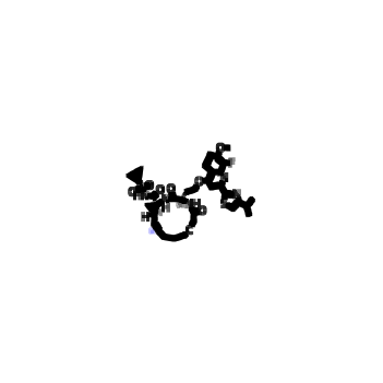 COc1ccc2c(OCC[C@@H]3NC(=O)CCCCC/C=C\[C@@H]4C[C@@]4(C(=O)NS(=O)(=O)C4CC4)NC3=O)cc(-c3nc(C(C)C)cs3)nc2c1F